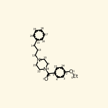 CCOc1ccc(C(=O)N2CCN(CCCc3ccccc3)CC2)cc1